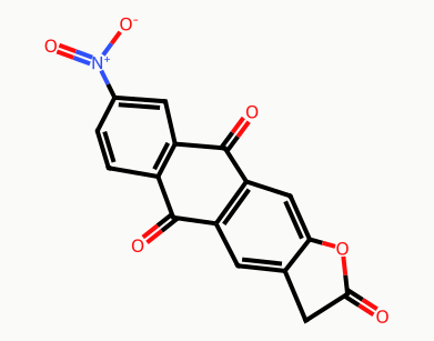 O=C1Cc2cc3c(cc2O1)C(=O)c1cc([N+](=O)[O-])ccc1C3=O